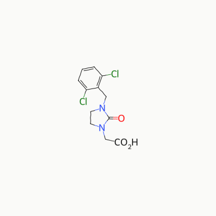 O=C(O)CN1CCN(Cc2c(Cl)cccc2Cl)C1=O